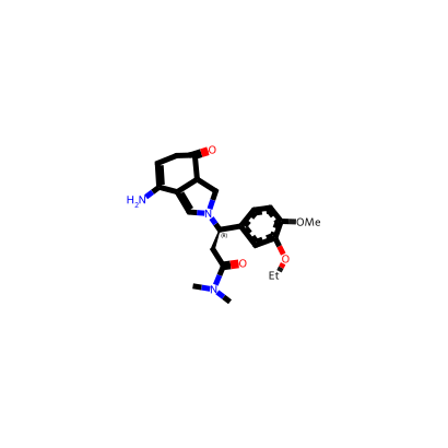 CCOc1cc([C@@H](CC(=O)N(C)C)N2C=C3C(N)=CCC(=O)C3C2)ccc1OC